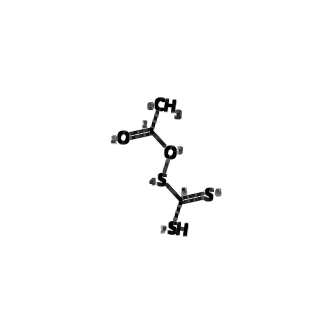 CC(=O)OSC(=S)S